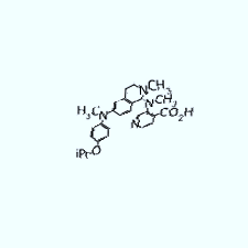 CC(C)Oc1ccc(N(C)c2ccc3c(c2)CCN(C)[C@@H]3N(C)c2cnccc2C(=O)O)cc1